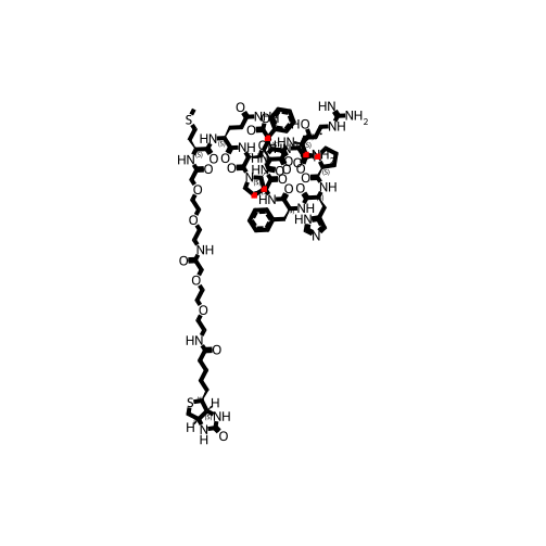 CSCC[C@H](NC(=O)COCCOCCNC(=O)COCCOCCNC(=O)CCCC[C@@H]1SC[C@@H]2NC(=O)N[C@@H]21)C(=O)N[C@@H](CCC(N)=O)C(=O)N[C@@H](CO)C(=O)N1CCC[C@H]1C(=O)N[C@@H](Cc1ccccc1)C(=O)N[C@H](C(=O)N1CCC[C@H]1C(=O)N[C@@H](Cc1cnc[nH]1)C(=O)N[C@@H](Cc1ccccc1)C(=O)N[C@@H](C)C(=O)N[C@@H](CCC(=O)O)C(=O)N[C@@H](CCCNC(=N)N)C(N)=O)[C@@H](C)O